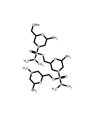 BC1CN(C)CC(COP(=O)(N(C)C)N2CC(B)OC(COP(=O)(N(C)C)N3CC(B)OC(COC)C3)C2)O1